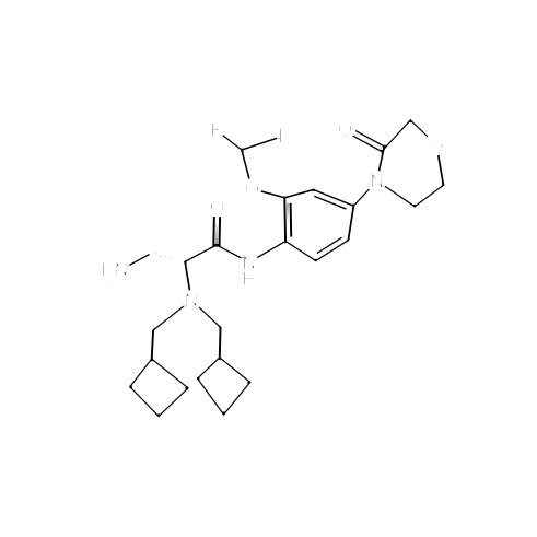 NC[C@H](C(=O)Nc1ccc(N2CCOCC2=O)cc1OC(F)F)N(CC1CCC1)CC1CCC1